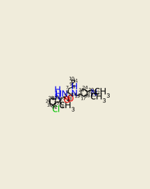 Cc1c(C(=O)NC(CCC2CC2)C(=O)NCC2C=CC(CN(C)C)=CC2)[nH]c2cccc(Cl)c12